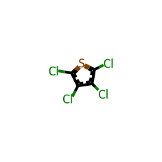 Clc1sc(Cl)c(Cl)c1Cl